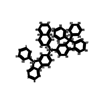 c1ccc(-n2c3ccccc3c3ccc(N(c4ccc5c(c4)C(c4ccccc4)(c4ccccc4)c4ccccc4-5)c4ccc5ccccc5c4)cc32)cc1